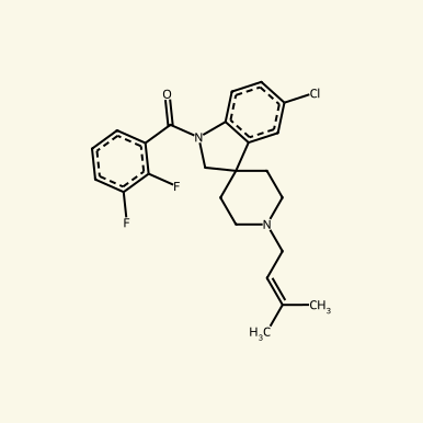 CC(C)=CCN1CCC2(CC1)CN(C(=O)c1cccc(F)c1F)c1ccc(Cl)cc12